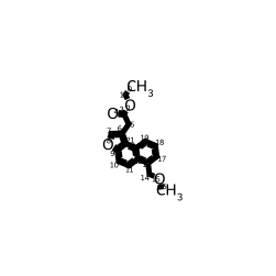 CCOC(=O)Cc1coc2ccc3c(COC)cccc3c12